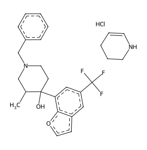 C1=CNCCC1.CC1CN(Cc2ccccc2)CCC1(O)c1cc(C(F)(F)F)cc2ccoc12.Cl